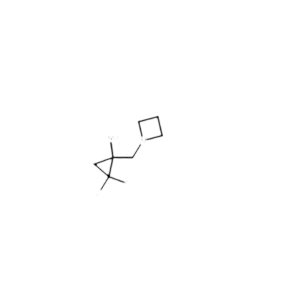 NC1(CN2CCC2)CC1(F)F